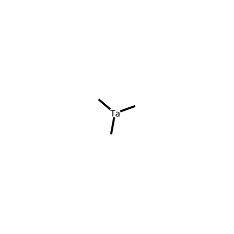 [CH3][Ta]([CH3])[CH3]